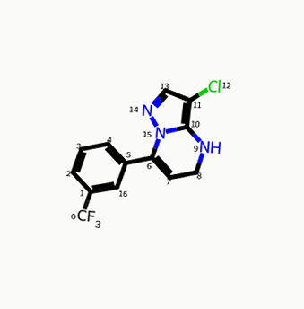 FC(F)(F)c1cccc(C2=CCNc3c(Cl)cnn32)c1